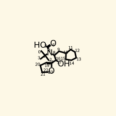 CC(C)(C)N(C(=O)O)C(CC1CCCCC1)C(O)C1=CCCCO1